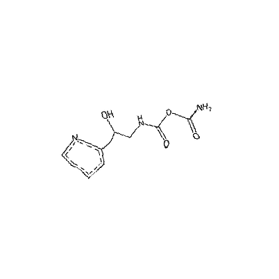 NC(=O)OC(=O)NCC(O)c1ccccn1